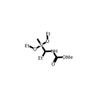 CCO[Si](C)(OCC)C(CC)NC(=O)OC